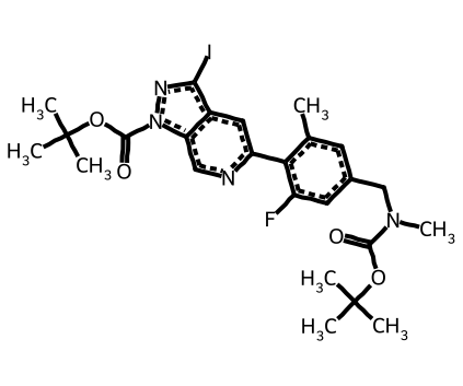 Cc1cc(CN(C)C(=O)OC(C)(C)C)cc(F)c1-c1cc2c(I)nn(C(=O)OC(C)(C)C)c2cn1